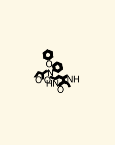 Cc1[nH]cc2cc(C(=O)N(CC3CCOC3)c3ccccc3Oc3ccccc3)[nH]c(=O)c12